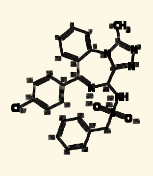 Cc1nnc2n1-c1ccccc1C(c1ccc(Cl)cc1)=NC2NS(=O)(=O)Cc1ccccc1